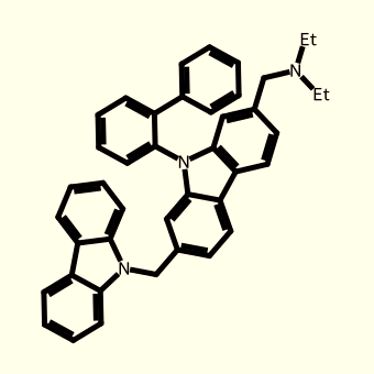 CCN(CC)Cc1ccc2c3ccc(Cn4c5ccccc5c5ccccc54)cc3n(-c3ccccc3-c3ccccc3)c2c1